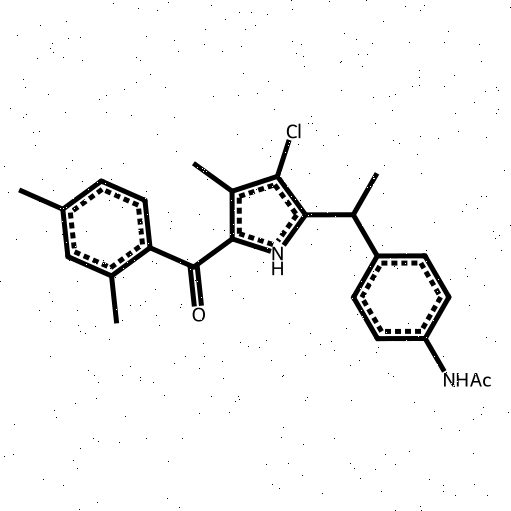 CC(=O)Nc1ccc(C(C)c2[nH]c(C(=O)c3ccc(C)cc3C)c(C)c2Cl)cc1